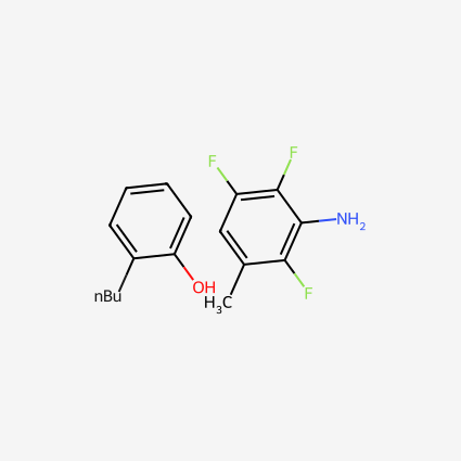 CCCCc1ccccc1O.Cc1cc(F)c(F)c(N)c1F